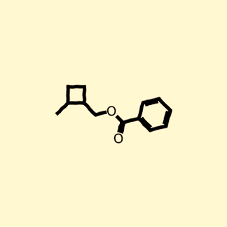 CC1CCC1COC(=O)c1ccccc1